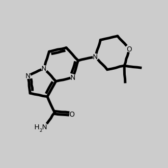 CC1(C)CN(c2ccn3ncc(C(N)=O)c3n2)CCO1